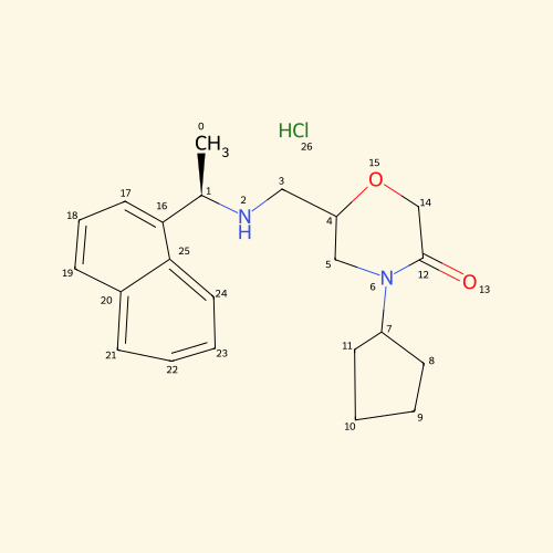 C[C@@H](NCC1CN(C2CCCC2)C(=O)CO1)c1cccc2ccccc12.Cl